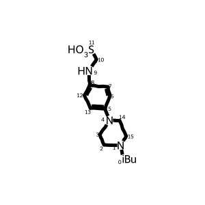 CCC(C)N1CCN(c2ccc(N[CH]S(=O)(=O)O)cc2)CC1